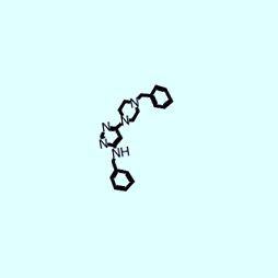 c1ccc(CNc2cc(N3CCN(Cc4ccccc4)CC3)ncn2)cc1